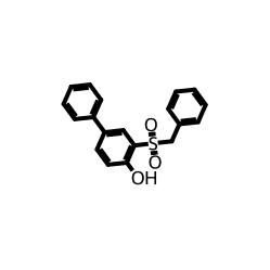 O=S(=O)(Cc1ccccc1)c1cc(-c2ccccc2)ccc1O